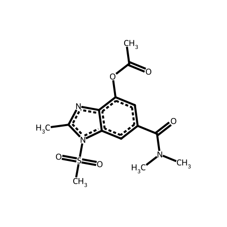 CC(=O)Oc1cc(C(=O)N(C)C)cc2c1nc(C)n2S(C)(=O)=O